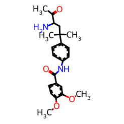 COc1ccc(C(=O)Nc2ccc(C(C)(C)CC(N)C(C)=O)cc2)cc1OC